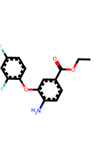 CCOC(=O)c1ccc(N)c(Oc2ccc(F)cc2F)c1